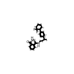 CC(CCNc1n[nH]c(=O)c2ccccc12)c1ccc(C2=CC=CCC2(F)F)cc1